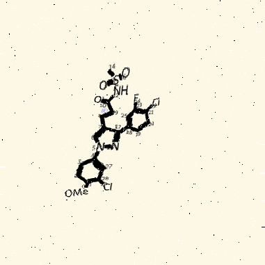 COc1ccc(-n2cc(/C=C/C(=O)NS(C)(=O)=O)c(-c3ccc(Cl)c(F)c3)n2)cc1Cl